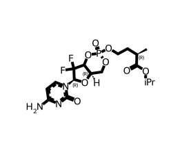 CC(C)OC(=O)[C@H](C)CCOP1(=O)OC[C@H]2O[C@@H](n3ccc(N)nc3=O)C(F)(F)C2O1